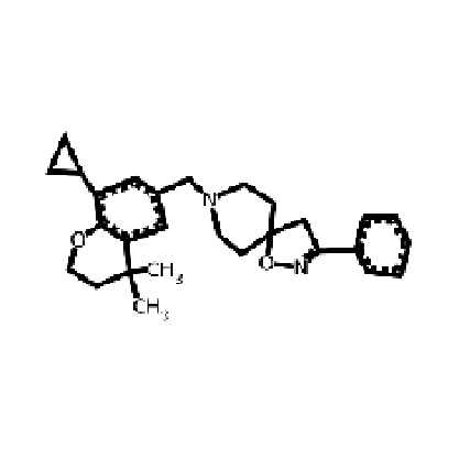 CC1(C)CCOc2c(C3CC3)cc(CN3CCC4(CC3)CC(c3ccccc3)=NO4)cc21